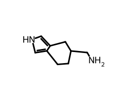 NCC1CCc2c[nH]cc2C1